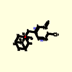 C=N/C=C(\C=N/CCl)CN1CC2CC(C1)N2CC